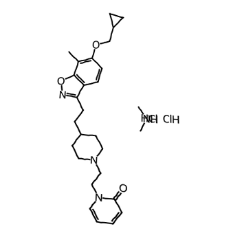 CNC.Cc1c(OCC2CC2)ccc2c(CCC3CCN(CCn4ccccc4=O)CC3)noc12.Cl.Cl